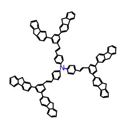 C(=C\c1cc(-c2ccc3c(c2)Cc2ccccc2-3)cc(-c2ccc3c(c2)Cc2ccccc2-3)c1)/c1ccc(N(c2ccc(/C=C/c3cc(-c4ccc5c(c4)Cc4ccccc4-5)cc(-c4ccc5c(c4)Cc4ccccc4-5)c3)cc2)c2ccc(/C=C/c3cc(-c4ccc5c(c4)Cc4ccccc4-5)cc(-c4ccc5c(c4)-c4ccccc4C5)c3)cc2)cc1